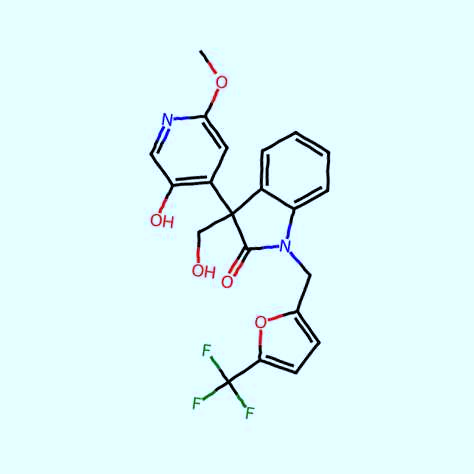 COc1cc(C2(CO)C(=O)N(Cc3ccc(C(F)(F)F)o3)c3ccccc32)c(O)cn1